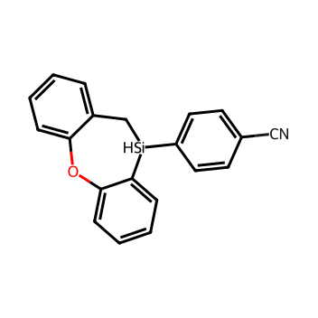 N#Cc1ccc([SiH]2Cc3ccccc3Oc3ccccc32)cc1